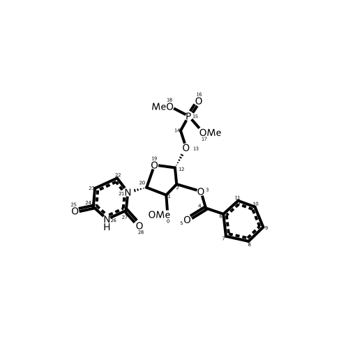 COC1C(OC(=O)c2ccccc2)[C@@H](OCP(=O)(OC)OC)O[C@H]1n1ccc(=O)[nH]c1=O